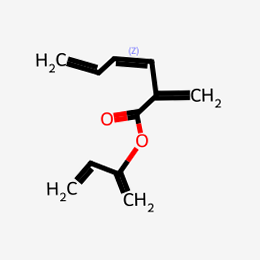 C=C/C=C\C(=C)C(=O)OC(=C)C=C